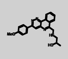 COc1ccc(-c2cc3nc(CNCC(C)O)c4ccccc4c3nn2)cc1